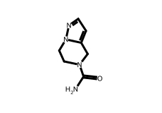 NC(=O)N1CCn2nccc2C1